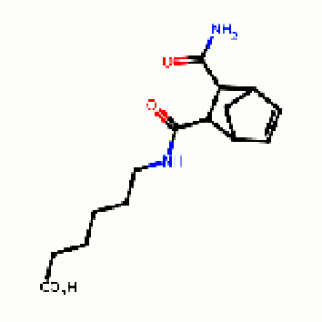 NC(=O)C1C2C=CC(C2)C1C(=O)NCCCCCC(=O)O